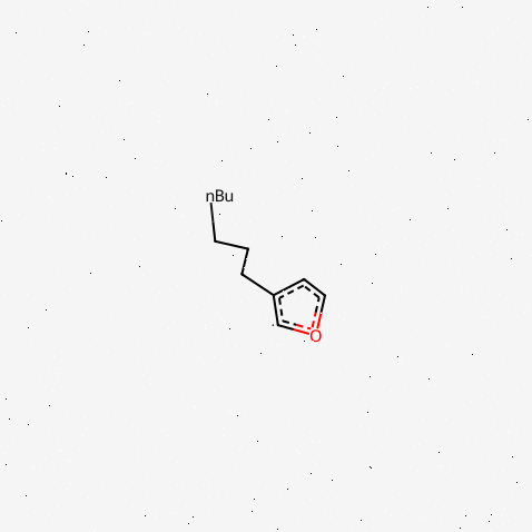 CCCCCCCc1[c]occ1